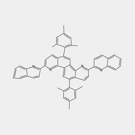 Cc1cc(C)c(-c2cc3c(cc(-c4c(C)cc(C)cc4C)c4ccc(-c5ccc6ccccc6n5)nc43)c3nc(-c4ccc5ccccc5n4)ccc23)c(C)c1